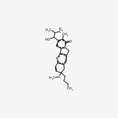 CCCCC1(OC)C=Cc2nc3c(cc2C1)Cn1c-3cc(C(O)C(C)C)c(C)c1=O